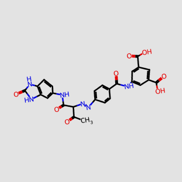 CC(=O)C(/N=N/c1ccc(C(=O)Nc2cc(C(=O)O)cc(C(=O)O)c2)cc1)C(=O)Nc1ccc2[nH]c(=O)[nH]c2c1